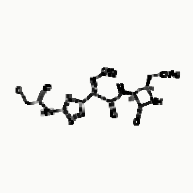 CON=C(C(=O)N[C@@H]1C(=O)N[C@@H]1COC(C)=O)c1csc(NC(=O)CCl)n1